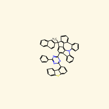 CC1(c2ccc3ccccc3c2)c2cccc3c2-c2c1cc(-c1nc(-c4ccccc4)nc(-c4cccc5sc6ccccc6c45)n1)c1c4ccccc4n(c21)-c1ccccc1-3